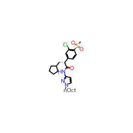 CCCCCCCCn1ccc(NC(=O)[C@H](CC2CCCC2)c2ccc(S(C)(=O)=O)c(Cl)c2)n1